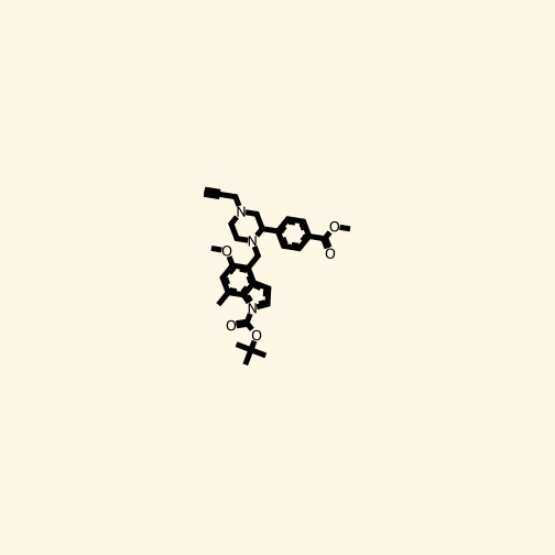 C#CCN1CCN(Cc2c(OC)cc(C)c3c2ccn3C(=O)OC(C)(C)C)C(c2ccc(C(=O)OC)cc2)C1